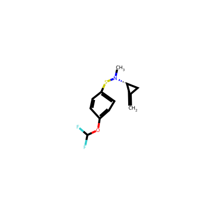 C=C1C[C@H]1N(C)Sc1ccc(OC(F)F)cc1